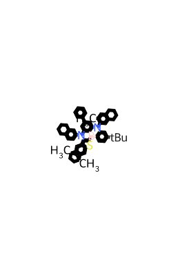 Cc1cc2c(cc1N1c3cc(C(C)(C)C)ccc3B3c4sc5cc6c(cc5c4N(c4ccc5c(c4)CCCC5)c4cc(-c5ccccc5)cc1c43)C1(C)CCC6(C)CC1)CCCC2